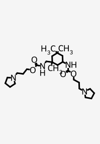 CC1(C)CC(NC(=O)OCCCN2CCCC2)CC(C)(CNC(=O)OCCCN2CCCC2)C1